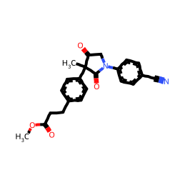 COC(=O)CCc1ccc(C2(C)C(=O)CN(c3ccc(C#N)cc3)C2=O)cc1